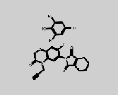 C#CCN1C(=O)COc2cc(F)c(N3C(=O)C4=C(CCCC4)C3=O)cc21.N#Cc1cc(Br)c(O)c(Br)c1